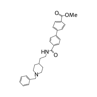 COC(=O)c1ccc(-c2ccc(C(=O)NCCC3CCN(Cc4ccccc4)CC3)cc2)cc1